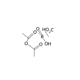 CC(=O)O.CC(=O)OC(C)=O.O=BO